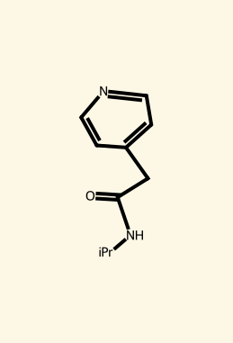 CC(C)NC(=O)Cc1ccncc1